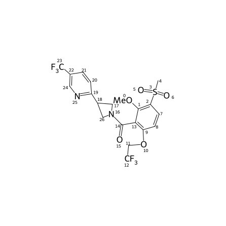 COc1c(S(C)(=O)=O)ccc(OCC(F)(F)F)c1C(=O)N1CC(c2ccc(C(F)(F)F)cn2)C1